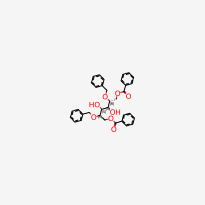 O=C(OC[C@@H](OCc1ccccc1)[C@@H](O)[C@H](O)[C@@H](COC(=O)c1ccccc1)OCc1ccccc1)c1ccccc1